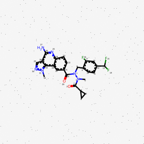 CN(C(=O)C1CC1)N(Cc1ccc(C(F)F)cc1F)C(=O)c1ccc2nc(N)c3cnn(C)c3c2c1